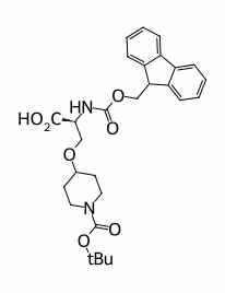 CC(C)(C)OC(=O)N1CCC(OC[C@H](NC(=O)OCC2c3ccccc3-c3ccccc32)C(=O)O)CC1